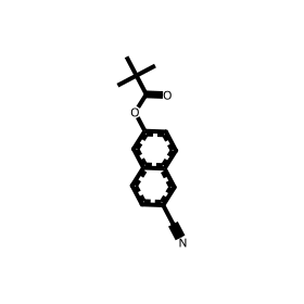 CC(C)(C)C(=O)Oc1ccc2cc(C#N)ccc2c1